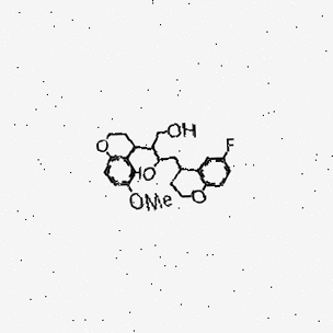 COc1ccc2c(c1)C(C(CO)C(O)CC1CCOc3ccc(F)cc31)CCO2